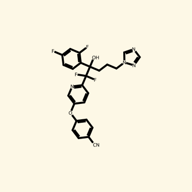 N#Cc1ccc(Oc2ccc(C(F)(F)C(O)(CCCn3cncn3)c3ccc(F)cc3F)nc2)cc1